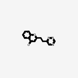 O=c1cc(CCc2cncnn2)oc2ccccc12